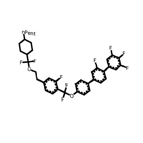 CCCCCC1CCC(C(F)(F)OCCc2ccc(C(F)(F)Oc3ccc(-c4ccc(-c5cc(F)c(F)c(F)c5)c(F)c4)cc3)c(F)c2)CC1